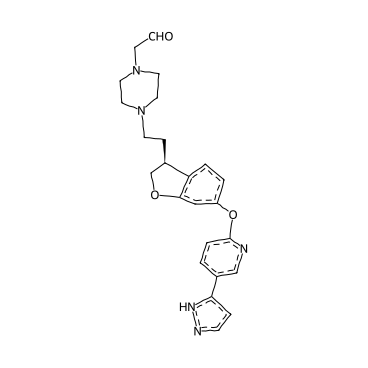 O=CCN1CCN(CC[C@@H]2COc3cc(Oc4ccc(-c5ccn[nH]5)cn4)ccc32)CC1